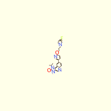 CC(C)n1c(=O)n(C)c2cnc3ccc(-c4ccc(OCCCN5CC[C@@H](F)C5)nc4)cc3c21